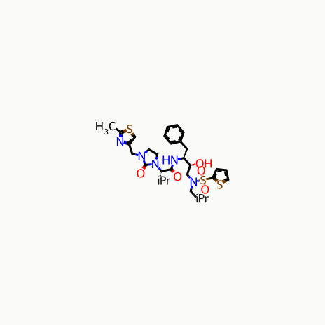 Cc1nc(CN2CCN([C@H](C(=O)N[C@@H](Cc3ccccc3)[C@@H](O)CN(CC(C)C)S(=O)(=O)c3cccs3)C(C)C)C2=O)cs1